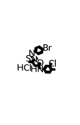 Cc1ccc(NC(=O)Cc2csc(=Nc3ccc(Br)cc3)n2C)cc1Cl.Cl